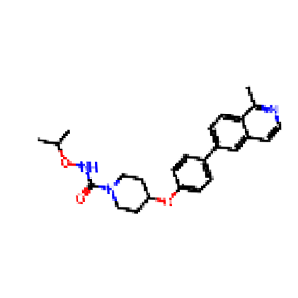 Cc1nccc2cc(-c3ccc(OC4CCN(C(=O)NOC(C)C)CC4)cc3)ccc12